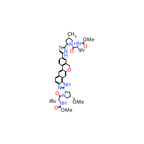 CC[C@H](C)C(NC(=O)OC)C(=O)N1C[C@@H](COC)C[C@H]1c1nc2ccc3cc4c(cc3c2[nH]1)OCc1cc(-c2cnc(C3C[C@H](C)CN3C(=O)[C@@H](NC(=O)OC)C(C)C)[nH]2)ccc1-4